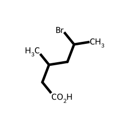 CC(Br)CC(C)CC(=O)O